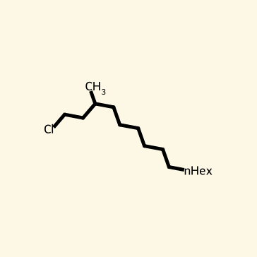 CCCCCCCCCCCCC(C)CCCl